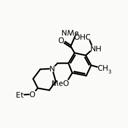 CCOC1CCN(Cc2c(OC)cc(C)c(NC=O)c2C(=O)NC)CC1